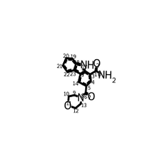 NC(=O)c1cc(C(=O)N2CCOCC2)cc2c1[nH]c1ccccc12